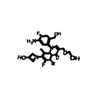 Cc1c(N2CC(O)C2)c(F)c(Br)c2c(=O)c(COCO)cn(-c3cc(N)c(F)cc3CO)c12